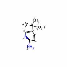 CC(C)(C(=O)O)c1ccc(N)nc1